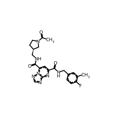 CC(=O)N1CC[C@H](CNC(=O)c2cc(C(=O)NCc3ccc(F)c(C)c3)nc3ncnn23)C1